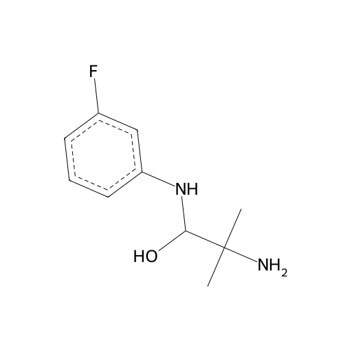 CC(C)(N)C(O)Nc1cccc(F)c1